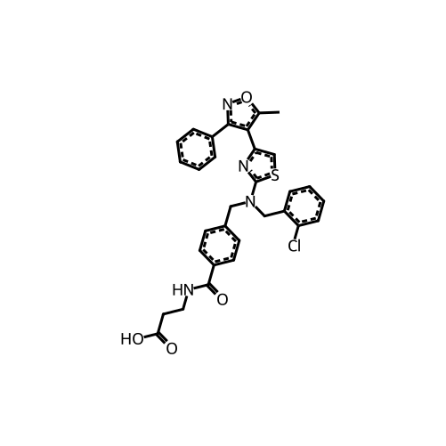 Cc1onc(-c2ccccc2)c1-c1csc(N(Cc2ccc(C(=O)NCCC(=O)O)cc2)Cc2ccccc2Cl)n1